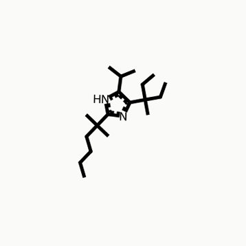 CCCCC(C)(C)c1nc(C(C)(CC)CC)c(C(C)C)[nH]1